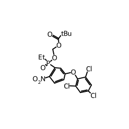 CCP(=O)(OCOC(=O)C(C)(C)C)c1cc(Oc2c(Cl)cc(Cl)cc2Cl)ccc1[N+](=O)[O-]